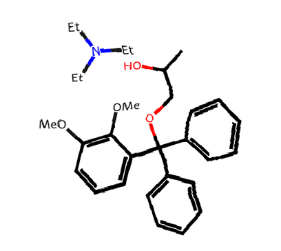 CCN(CC)CC.COc1cccc(C(OCC(C)O)(c2ccccc2)c2ccccc2)c1OC